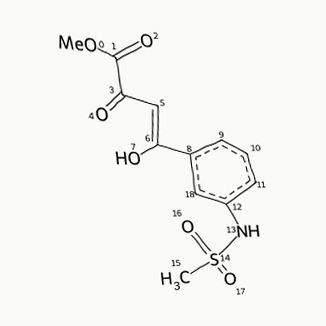 COC(=O)C(=O)C=C(O)c1cccc(NS(C)(=O)=O)c1